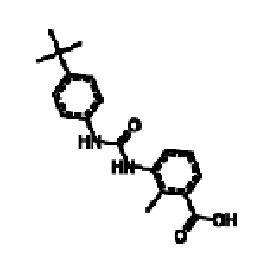 Cc1c(NC(=O)Nc2ccc(C(C)(C)C)cc2)cccc1C(=O)O